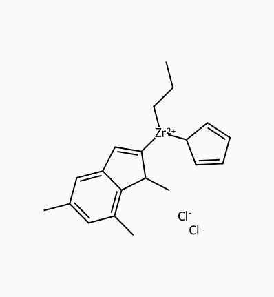 CC[CH2][Zr+2]([C]1=Cc2cc(C)cc(C)c2C1C)[CH]1C=CC=C1.[Cl-].[Cl-]